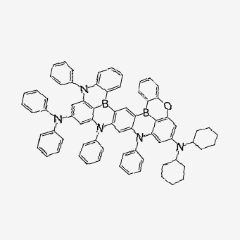 c1ccc(N(c2ccccc2)c2cc3c4c(c2)N(c2ccccc2)c2cc5c(cc2B4c2ccccc2N3c2ccccc2)B2c3ccccc3Oc3cc(N(C4CCCCC4)C4CCCCC4)cc(c32)N5c2ccccc2)cc1